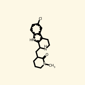 CN1CCCC(CC2NCCc3c2[nH]c2ccc(Cl)cc32)C1=O